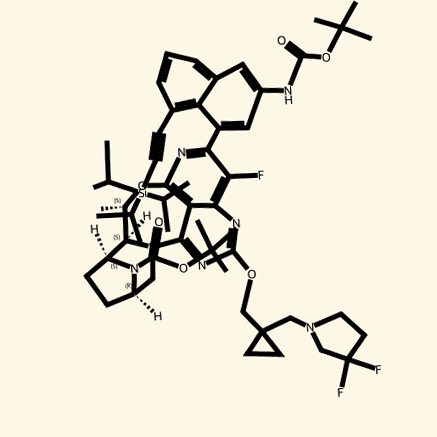 CC(C)[Si](C#Cc1cccc2cc(NC(=O)OC(C)(C)C)cc(-c3nc4c5c(nc(OCC6(CN7CCC(F)(F)C7)CC6)nc5c3F)N3C[C@H]5CC[C@@H]([C@H]3[C@H](C)O4)N5C(=O)OC(C)(C)C)c12)(C(C)C)C(C)C